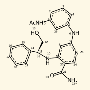 CC(=O)Nc1cccc(Nc2cc(N[C@H](CO)c3ccccc3)c(C(N)=O)cn2)c1